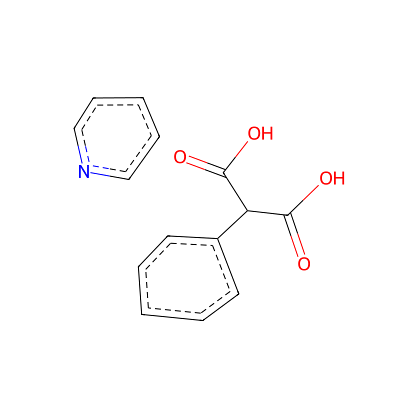 O=C(O)C(C(=O)O)c1ccccc1.c1ccncc1